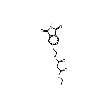 CCOC(=O)CC(=O)OCC.O=C1NC(=O)c2ccccc21